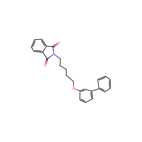 O=C1c2ccccc2C(=O)N1CCCCCOc1cccc(-c2ccccc2)c1